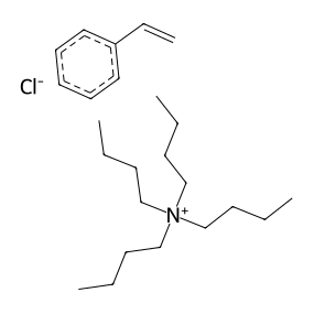 C=Cc1ccccc1.CCCC[N+](CCCC)(CCCC)CCCC.[Cl-]